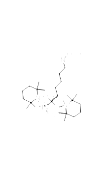 CC(=O)O[N+]1(OC(CCCCCNC(=O)[O-])(NC(=O)[O-])O[N+]2(OC(C)=O)C(C)(C)CCCC2(C)C)C(C)(C)CCCC1(C)C